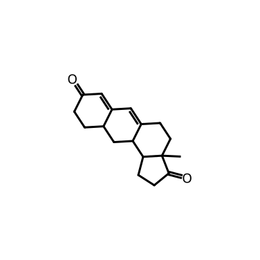 CC12CCC3=CC4=CC(=O)CCC4CC3C1CCC2=O